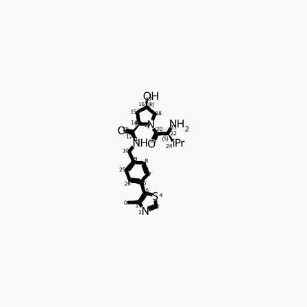 Cc1ncsc1-c1ccc(CNC(=O)[C@H]2C[C@@H](O)CN2C(=O)[C@@H](N)C(C)C)cc1